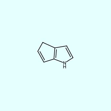 C1=Cc2[nH]ccc2C1